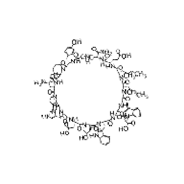 CCCC[C@H]1C(=O)N(C)[C@@H](CCCC)C(=O)N[C@@H](CCC(=O)O)C(=O)N[C@H](C(N)=O)CNCC(=O)N[C@@H](Cc2ccc(O)cc2)C(=O)N2CCCC[C@H]2C(=O)N[C@@H](CC(N)=O)C(=O)N2CCC[C@H]2C(=O)N[C@@H](Cc2c[nH]cn2)C(=O)N[C@@H](CC(=O)O)C(=O)N2C[C@H](O)C[C@H]2C(=O)N[C@@H](Cc2c[nH]c3ccccc23)C(=O)N[C@@H](C)C(=O)N[C@@H](Cc2cn(CC(=O)O)c3ccccc23)C(=O)N1C